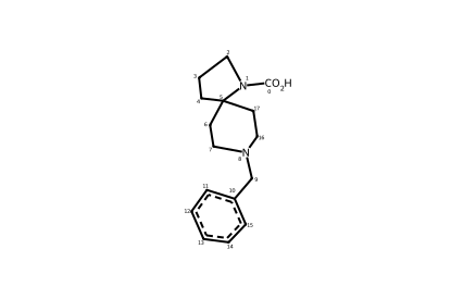 O=C(O)N1CCCC12CCN(Cc1ccccc1)CC2